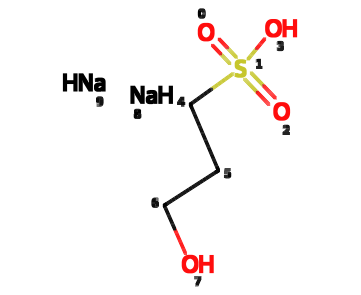 O=S(=O)(O)CCCO.[NaH].[NaH]